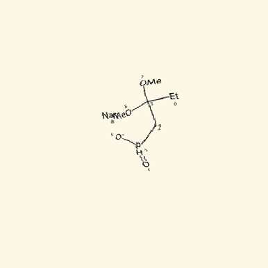 CCC(C[PH](=O)[O-])(OC)OC.[Na+]